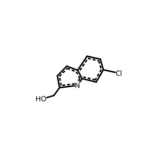 OCc1ccc2ccc(Cl)cc2n1